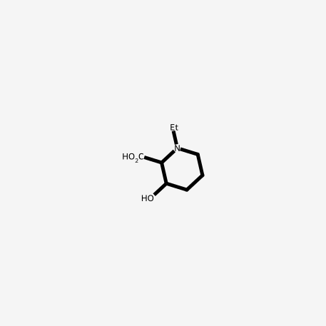 CCN1CCCC(O)C1C(=O)O